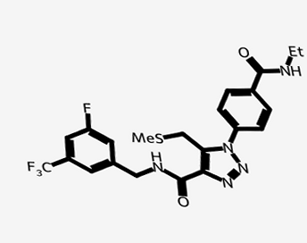 CCNC(=O)c1ccc(-n2nnc(C(=O)NCc3cc(F)cc(C(F)(F)F)c3)c2CSC)cc1